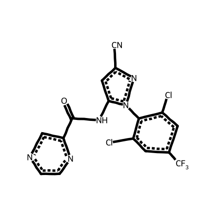 N#Cc1cc(NC(=O)c2cnccn2)n(-c2c(Cl)cc(C(F)(F)F)cc2Cl)n1